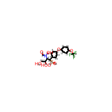 O=CN(O)C(C(c1ccc(Oc2ccc(OC(F)(F)F)cc2)cc1)=S(=O)=O)C(O)CO